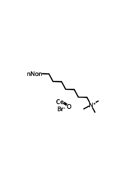 CCCCCCCCCCCCCCCC[N+](C)(C)C.[Br-].[O]=[Ce]